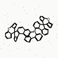 c1ccc(-c2ccccc2N(c2ccc3c4c(ccc3c2)C2(c3ccccc3Sc3ccccc32)c2ccccc2-4)c2cccc3c2-c2ccccc2C32c3ccccc3Oc3ccccc32)cc1